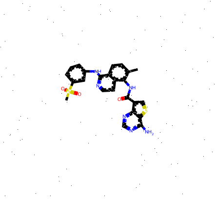 Cc1ccc2c(Nc3cccc(S(C)(=O)=O)c3)nccc2c1NC(=O)c1csc2c(N)ncnc12